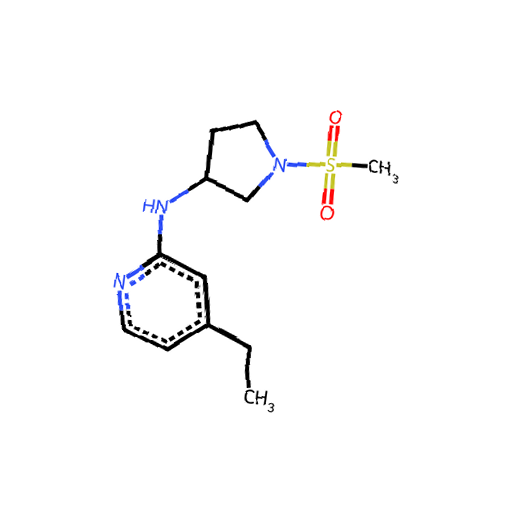 CCc1ccnc(NC2CCN(S(C)(=O)=O)C2)c1